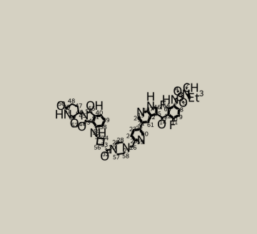 CCN(C)S(=O)(=O)Nc1ccc(F)c(C(=O)c2c[nH]c3ncc(-c4ccc(CN5CCN(C(=O)[C@H]6C[C@H](Nc7cccc8c7C(=O)N(C7CCC(=O)NC7=O)C8O)C6)CC5)nc4)cc23)c1F